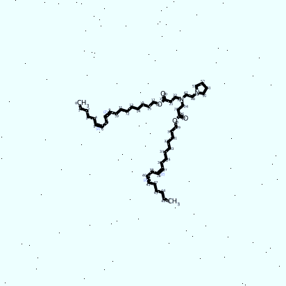 CCCCC/C=C\C/C=C\CCCCCCCCOC(=O)CCN(CCC(=O)OCCCCCCCC/C=C\C/C=C\CCCCC)CCN1CCCC1